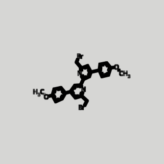 COc1ccc(-c2cc(CBr)nc(-c3cc(-c4ccc(OC)cc4)cc(CBr)n3)c2)cc1